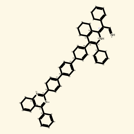 N=C/C(C1=CC=CCC1)=C1\NC(C2C=CC=CC2)=C(C2=CCC(c3ccc(C4=CCC(c5nc6c(c(-c7ccccc7)n5)C=CCC6)C=C4)cc3)C=C2)C2=C1CCCC2